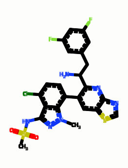 Cn1nc(NS(C)(=O)=O)c2c(Cl)ccc(-c3cc4scnc4nc3C(N)Cc3cc(F)cc(F)c3)c21